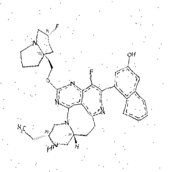 CC[C@@H]1CN2c3nc(OC[C@@]45CCCN4C[C@H](F)C5)nc4c(F)c(-c5cc(O)cc6ccccc56)nc(c34)CC[C@@H]2CN1